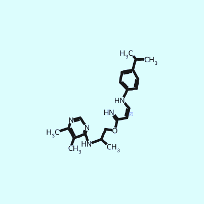 Cc1ncnc(NC(C)COC(=N)/C=C\Nc2ccc(C(C)C)cc2)c1C